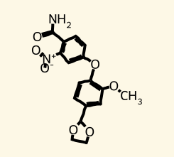 COc1cc(C2OCCO2)ccc1Oc1ccc(C(N)=O)c([N+](=O)[O-])c1